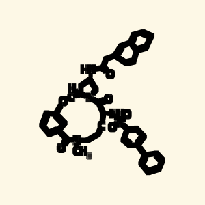 CN1CCC[C@H](NS(=O)(=O)c2ccc(-c3ccccc3)cc2)C(=O)N2C[C@@H](NC(=O)Cc3ccc4ccccc4c3)C[C@H]2COc2cccc(c2)C1=O